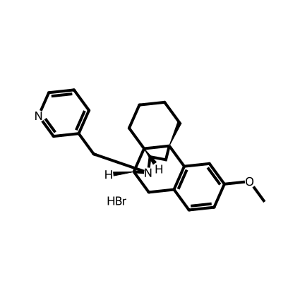 Br.COc1ccc2c(c1)[C@@]13CCCC[C@H]1[C@@H](C2)N(Cc1cccnc1)CC3